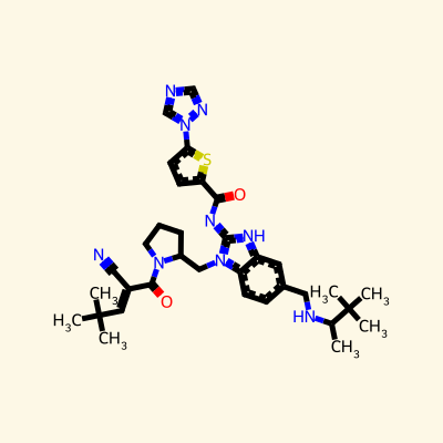 CC(NCc1ccc2c(c1)[nH]c(=NC(=O)c1ccc(-n3cncn3)s1)n2CC1CCCN1C(=O)C(C#N)=CC(C)(C)C)C(C)(C)C